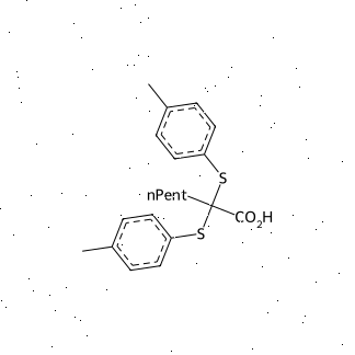 CCCCCC(Sc1ccc(C)cc1)(Sc1ccc(C)cc1)C(=O)O